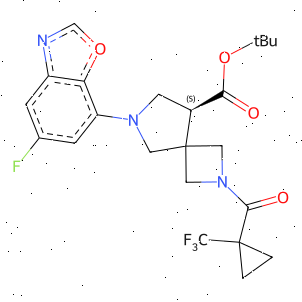 CC(C)(C)OC(=O)[C@@H]1CN(c2cc(F)cc3ncoc23)CC12CN(C(=O)C1(C(F)(F)F)CC1)C2